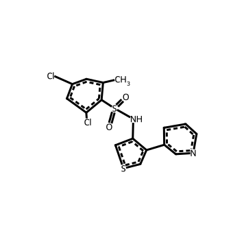 Cc1cc(Cl)cc(Cl)c1S(=O)(=O)Nc1cscc1-c1cccnc1